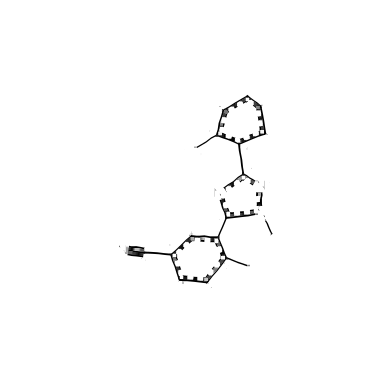 Cn1nc(-c2ccccc2Cl)nc1-c1cc(C#N)ccc1F